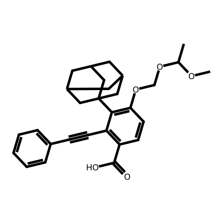 COC(C)OCOc1ccc(C(=O)O)c(C#Cc2ccccc2)c1C12CC3CC(CC(C3)C1)C2